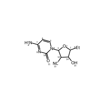 CCC1OC(n2ccc(N)nc2=O)C(C#N)C1O